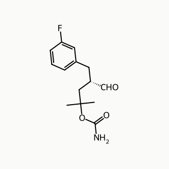 CC(C)(C[C@@H](C=O)Cc1cccc(F)c1)OC(N)=O